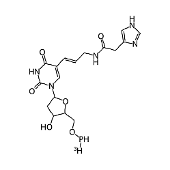 [3H]POCC1OC(n2cc(/C=C/CNC(=O)Cc3c[nH]cn3)c(=O)[nH]c2=O)CC1O